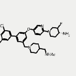 CC(=O)NCC1CCN(Cc2cc(Oc3ccc(N4CC[C@@H](N)C(F)C4)nc3)cc(-c3cc(Cl)cc(Cl)c3)c2)CC1